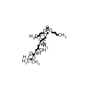 CCCCOP(=O)(COCC(C)(C)CNC[C@@H](O)CNC(=O)OC(C)(C)C)OCCCC